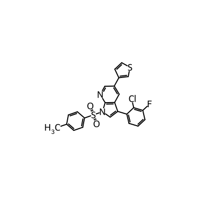 Cc1ccc(S(=O)(=O)n2cc(-c3cccc(F)c3Cl)c3cc(-c4ccsc4)cnc32)cc1